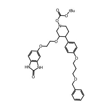 CC(C)(C)OC(=O)ON1CCC(c2ccc(OCCCOCc3ccccc3)cc2)C(OCCOc2ccc3[nH]c(=O)[nH]c3c2)C1